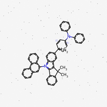 C=C(/C=C\C(=C/C)N(c1ccccc1)c1ccccc1)c1ccc2c(c1)c1c(n2-c2cc3ccccc3c3ccccc23)-c2ccccc2C1(C)C